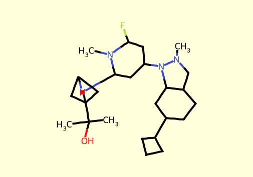 CN1C(F)CC(N2C3CC(C4CCC4)CCC3CN2C)CC1N1CC2(C(C)(C)O)CC1C2